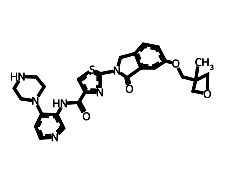 CC1(COc2ccc3c(c2)C(=O)N(c2nc(C(=O)Nc4cnccc4N4CCNCC4)cs2)C3)COC1